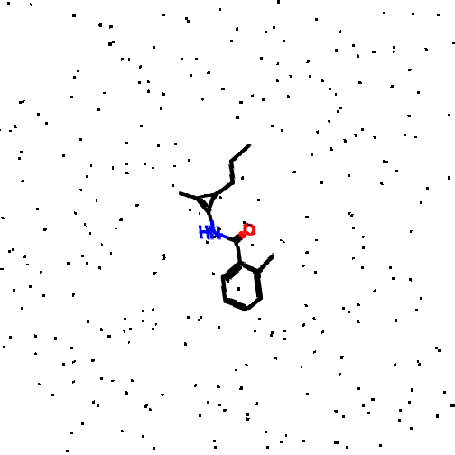 CCCC1C(C)=C1NC(=O)c1ccccc1C